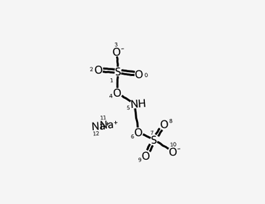 O=S(=O)([O-])ONOS(=O)(=O)[O-].[Na+].[Na+]